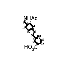 CC(=O)NCc1ccc(CCc2cc(C(=O)O)ccn2)cc1